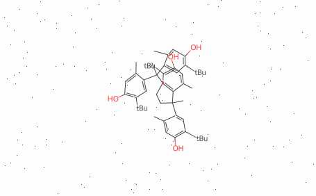 Cc1cc(O)c(C(C)(C)C)cc1C(C)(CCCC(C)(c1cc(C(C)(C)C)c(O)cc1C)c1cc(C(C)(C)C)c(O)cc1C)c1cc(C(C)(C)C)c(O)cc1C